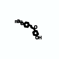 CCCCOc1ccc(C=CC(=O)c2ccc(O)cc2)cc1